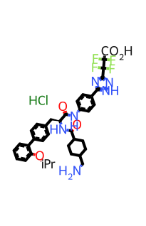 CC(C)Oc1ccccc1-c1ccc(C[C@H](NC(=O)C2CCC(CN)CC2)C(=O)Nc2ccc(-c3nc(C(F)(F)C(F)(F)C(=O)O)n[nH]3)cc2)cc1.Cl